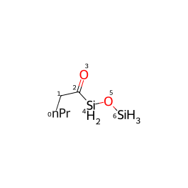 CCCCC(=O)[SiH2]O[SiH3]